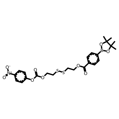 CC1(C)OB(c2ccc(C(=O)OCCSSCCOC(=O)Oc3ccc([N+](=O)[O-])cc3)cc2)OC1(C)C